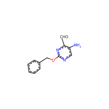 Nc1cnc(OCc2ccccc2)nc1C=O